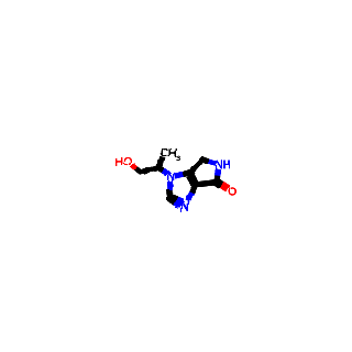 CC(CO)n1cnc2c1CNC2=O